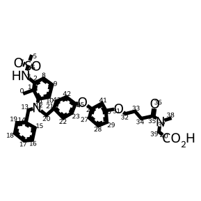 Cc1c(NS(C)(=O)=O)cccc1N(Cc1ccccc1)Cc1ccc(Oc2cccc(OCCCC(=O)N(C)CC(=O)O)c2)cc1